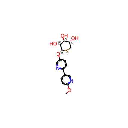 COc1ccc(-c2ccc(O[C@H]3SC[C@@H](O)[C@H](O)[C@H]3O)cn2)cn1